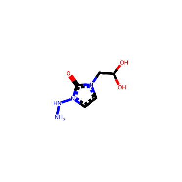 NNn1ccn(CC(O)O)c1=O